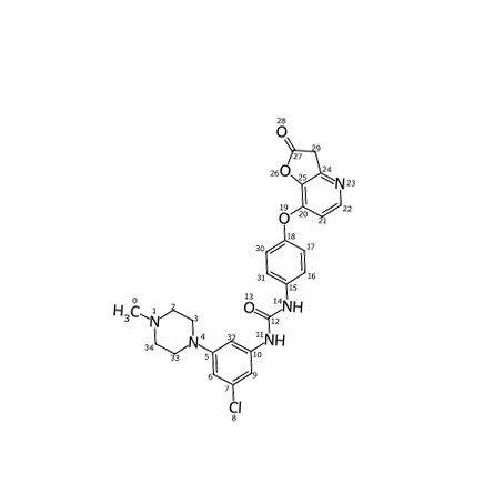 CN1CCN(c2cc(Cl)cc(NC(=O)Nc3ccc(Oc4ccnc5c4OC(=O)C5)cc3)c2)CC1